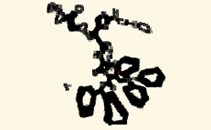 CC(C)(C)OC(=O)CON=C(C(=O)NC1C(=O)N2C(C(=O)OC(c3ccccc3)c3ccccc3)=C(C[P+](c3ccccc3)(c3ccccc3)c3ccccc3)CS[C@H]12)c1csc(NC=O)n1.[I-]